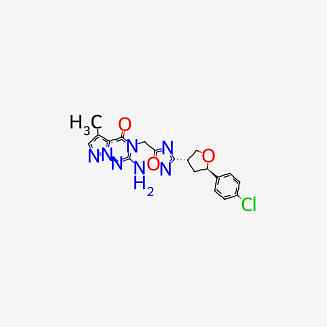 Cc1cnn2nc(N)n(Cc3nc([C@@H]4CO[C@@H](c5ccc(Cl)cc5)C4)no3)c(=O)c12